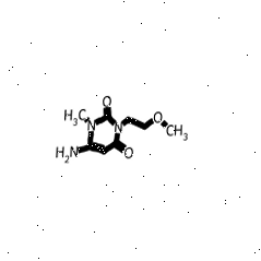 COCCn1c(=O)cc(N)n(C)c1=O